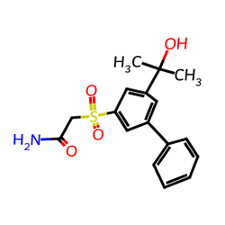 CC(C)(O)c1cc(-c2ccccc2)cc(S(=O)(=O)CC(N)=O)c1